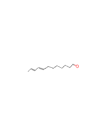 C/C=C/C=C/CCCCCCC=O